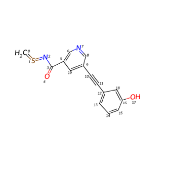 C=S=NC(=O)c1cncc(C#Cc2cccc(O)c2)c1